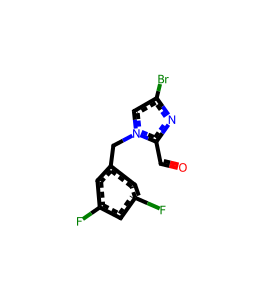 O=Cc1nc(Br)cn1Cc1cc(F)cc(F)c1